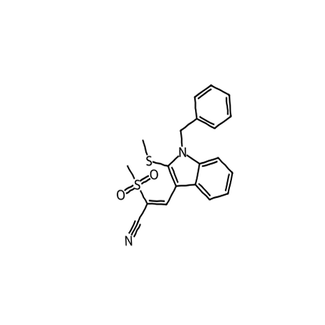 CSc1c(C=C(C#N)S(C)(=O)=O)c2ccccc2n1Cc1ccccc1